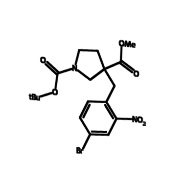 COC(=O)C1(Cc2ccc(Br)cc2[N+](=O)[O-])CCN(C(=O)OC(C)(C)C)C1